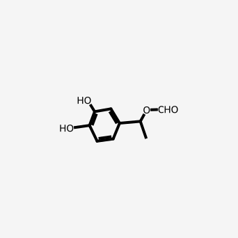 CC(OC=O)c1ccc(O)c(O)c1